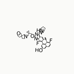 C#Cc1c(F)ccc2cc(O)cc(-c3c(C)cc4c(N5CC6CCC(C5)N6)nc(OCC5(CN6CCC7(CCOC7)C6)CC5)nc4c3F)c12